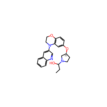 CCC(O)N1CC[C@H](Oc2ccc3c(c2)N(c2cnc4ccccc4c2)CCO3)C1